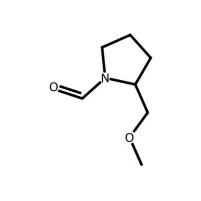 COCC1CCCN1C=O